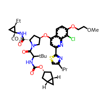 CC[C@@H]1C[C@]1(NC(=O)[C@@H]1C[C@@H](Oc2cc(-c3nc(C(C)C)cs3)nc3c(Cl)c(OCCOC)ccc23)CN1C(=O)C(NC(=O)O[C@@H]1C[C@@H]2C[C@@H]2C1)C(C)(C)C)C(=O)O